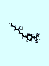 CCCCC(Cl)CC=Cc1ccc([N+](=O)[O-])cc1